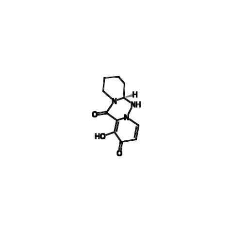 O=C1c2c(O)c(=O)ccn2N[C@@H]2CCCCN12